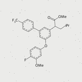 COC(=O)C(CC(C)C)c1cc(Oc2ccc(F)c(OC)c2)cc(-c2ccc(C(F)(F)F)cc2)c1